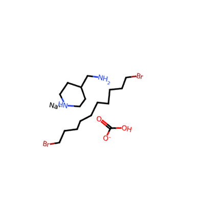 BrCCCCCCCCCCBr.NCC1CCNCC1.O=C([O-])O.[Na+]